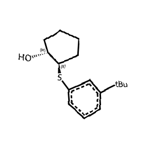 CC(C)(C)c1cccc(S[C@@H]2CCCC[C@H]2O)c1